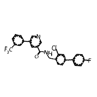 O=C(NCc1ccc(-c2ccc(F)cc2)cc1Cl)c1cncc(-c2cccc(C(F)(F)F)c2)c1